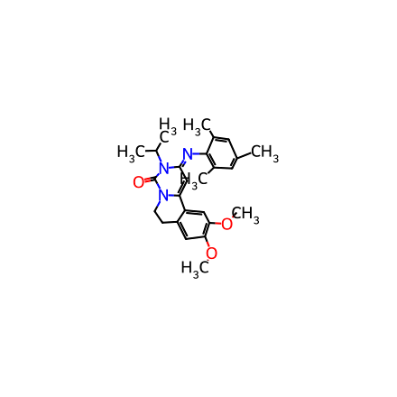 COc1cc2c(cc1OC)-c1cc(=Nc3c(C)cc(C)cc3C)n(C(C)C)c(=O)n1CC2